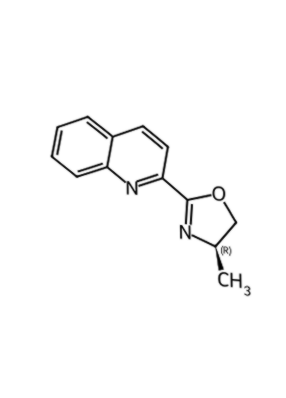 C[C@@H]1COC(c2ccc3ccccc3n2)=N1